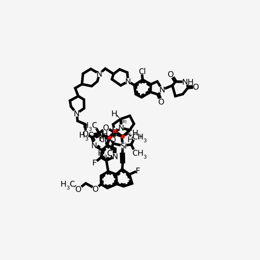 COCOc1cc(-c2ncc3c(N4C[C@H]5CC[C@@H](C4)N5C(=O)OC(C)(C)C)nc(OCCN4CCC(CC5CCN(CC6CCN(c7ccc8c(c7Cl)CN(C7CCC(=O)NC7=O)C8=O)CC6)CC5)CC4)nc3c2F)c2c(C#C[Si](C(C)C)(C(C)C)C(C)C)c(F)ccc2c1